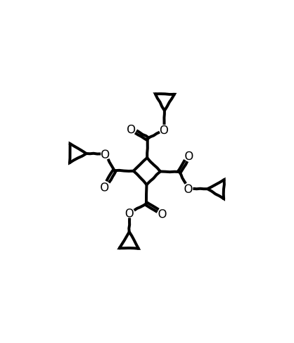 O=C(OC1CC1)C1C(C(=O)OC2CC2)C(C(=O)OC2CC2)C1C(=O)OC1CC1